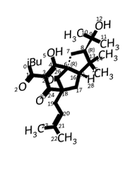 CCC(C)C(=O)C1=C(O)[C@@]23C[C@@H](C(C)(C)O)C(C)(C)[C@@H]2CC(CC=C(C)C)(C1=O)C3=O